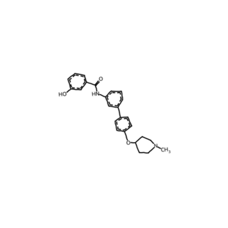 CN1CCC(Oc2ccc(-c3cccc(NC(=O)c4cccc(O)c4)c3)cc2)CC1